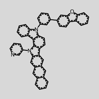 c1cc(-c2ccc3c(c2)oc2ccccc23)cc(-n2c3ccccc3c3c2ccc2c4cc5cc6ccccc6cc5cc4n(-c4cccnc4)c23)c1